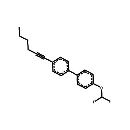 CCCCC#Cc1ccc(-c2ccc(OC(F)F)cc2)cc1